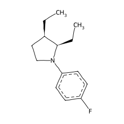 CC[C@@H]1CCN(c2ccc(F)cc2)[C@@H]1CC